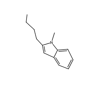 CCCCc1cc2ccccc2n1C